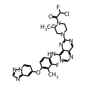 Cc1c(Oc2ccn3ncnc3c2)ccc(Nc2ncnc3cnc(N4CCN(C(=O)C(F)Cl)[C@H](C)C4)nc23)c1F